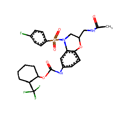 CC(=O)NCC1CN(S(=O)(=O)c2ccc(F)cc2)c2cc(NC(=O)OC3CCCCC3C(F)(F)F)ccc2O1